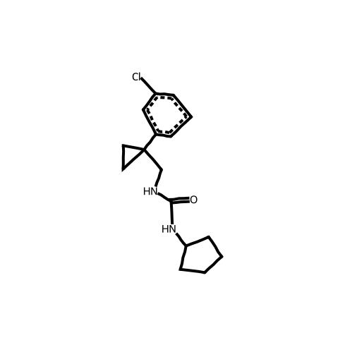 O=C(NCC1(c2cccc(Cl)c2)CC1)NC1CCCC1